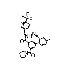 Cc1ccc(-c2cc(C(=O)NCc3ccc(C(F)(F)F)nc3)cc(C(=O)N3CCCC3)c2)c(C#N)c1